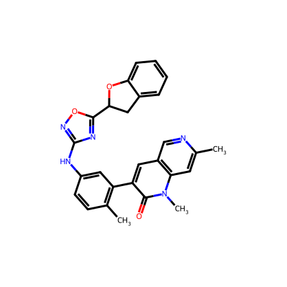 Cc1cc2c(cn1)cc(-c1cc(Nc3noc(C4Cc5ccccc5O4)n3)ccc1C)c(=O)n2C